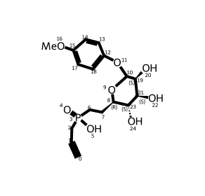 C#CCP(=O)(O)CC[C@H]1OC(Oc2ccc(OC)cc2)[C@@H](O)[C@@H](O)[C@@H]1O